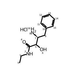 CCNC(=O)C(O)[C@@H](N)Cc1ccccc1.Cl